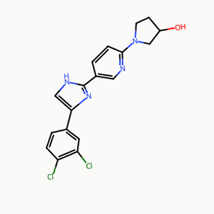 OC1CCN(c2ccc(-c3nc(-c4ccc(Cl)c(Cl)c4)c[nH]3)cn2)C1